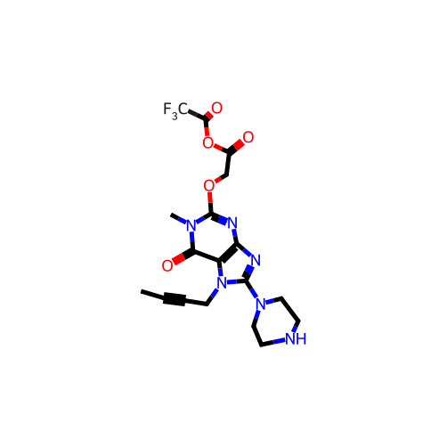 CC#CCn1c(N2CCNCC2)nc2nc(OCC(=O)OC(=O)C(F)(F)F)n(C)c(=O)c21